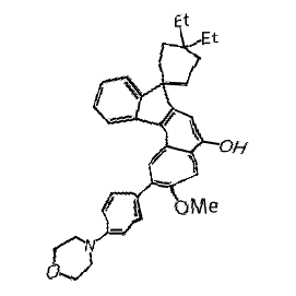 CCC1(CC)CCC2(CC1)c1ccccc1-c1c2cc(O)c2cc(OC)c(-c3ccc(N4CCOCC4)cc3)cc12